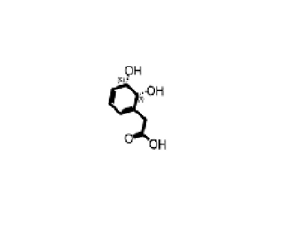 O=C(O)CC1=CC=C[C@H](O)[C@@H]1O